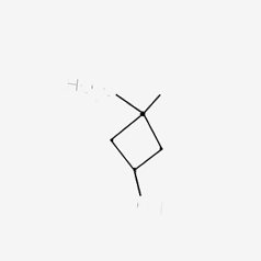 CC1(C(=O)O)CC(O)C1